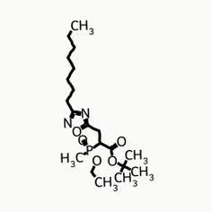 CCCCCCCCc1noc(CC(C(=O)OC(C)(C)C)P(C)(=O)OCC)n1